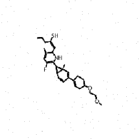 CCC/C(S)=C\C1NC(C2C3C=CC(C4=CCC(OCCOC)CC4)=C[C@]32C)=C(F)C=C1C